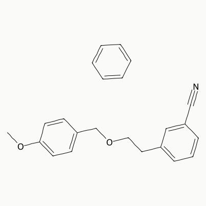 COc1ccc(COCCc2cccc(C#N)c2)cc1.c1ccccc1